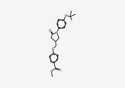 COC(=O)c1ccc(OCC2CC(=O)N(c3ccc(OC(C)(C)C)cc3)C2)cc1